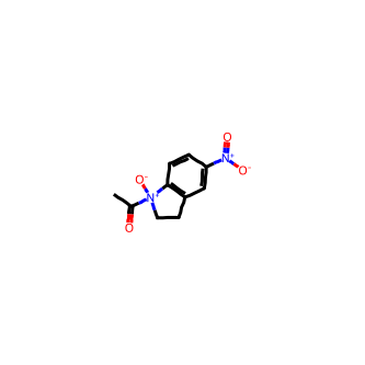 CC(=O)[N+]1([O-])CCc2cc([N+](=O)[O-])ccc21